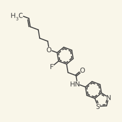 CC=CCCCOc1cccc(CC(=O)Nc2ccc3ncsc3c2)c1F